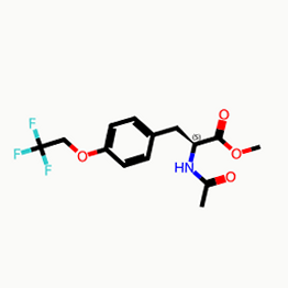 COC(=O)[C@H](Cc1ccc(OCC(F)(F)F)cc1)NC(C)=O